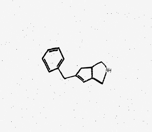 C1=C(Cc2ccccc2)CC2CNCC12